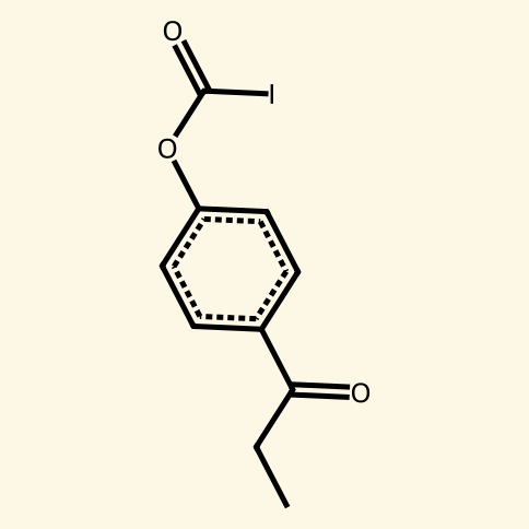 CCC(=O)c1ccc(OC(=O)I)cc1